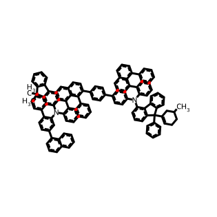 CC1CCC=C(C2(c3ccccc3)c3ccccc3-c3c(N(c4ccc(-c5ccc(-c6ccc7cccc(-c8ccccc8N(c8ccc9c(c8)C(C)(C)c8ccccc8-9)c8cc(-c9cccc%10ccccc9%10)ccc8-c8ccccc8)c7c6-c6ccccc6)cc5)cc4)c4ccccc4-c4cccc5cccc(-c6ccccc6)c45)cccc32)C1